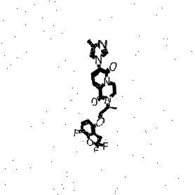 Cc1cn(-c2ccc3n(c2=O)CCN([C@@H](C)COc2ccc(F)c4c2CC(F)(F)O4)C3=O)cn1